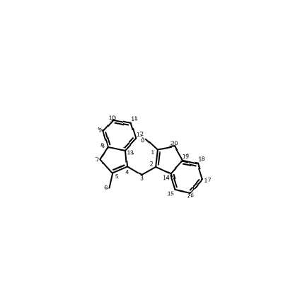 CC1=C(CC2=C(C)Cc3ccccc32)c2ccccc2C1